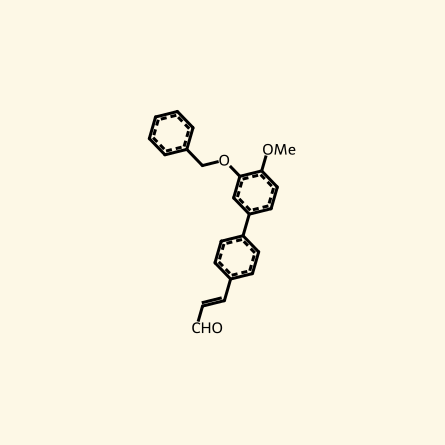 COc1ccc(-c2ccc(C=CC=O)cc2)cc1OCc1ccccc1